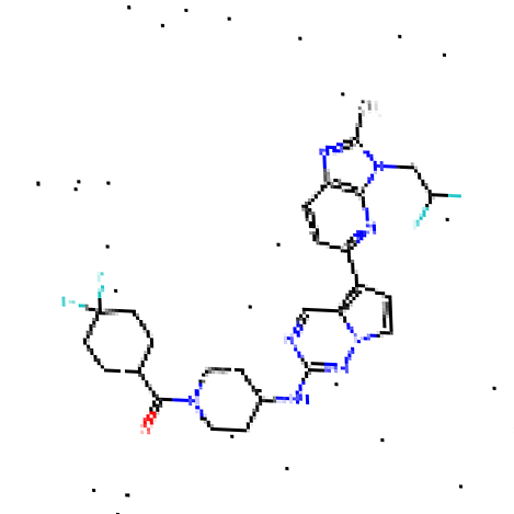 Cc1nc2ccc(-c3ccn4nc(NC5CCN(C(=O)C6CCC(F)(F)CC6)CC5)ncc34)nc2n1CC(F)F